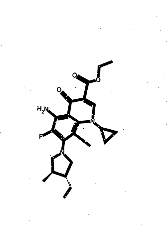 CCOC(=O)c1cn(C2CC2)c2c(C)c(N3C[C@H](CC)[C@@H](C)C3)c(F)c(N)c2c1=O